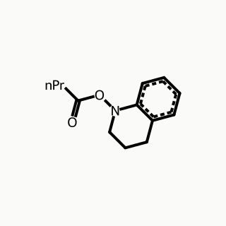 CCCC(=O)ON1CCCc2ccccc21